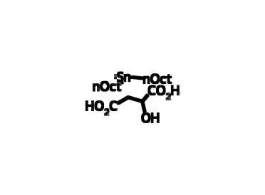 CCCCCCC[CH2][Sn][CH2]CCCCCCC.O=C(O)CC(O)C(=O)O